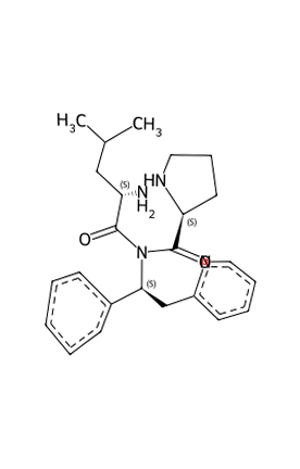 CC(C)C[C@H](N)C(=O)N(C(=O)[C@@H]1CCCN1)[C@@H](Cc1ccccn1)c1ccccc1